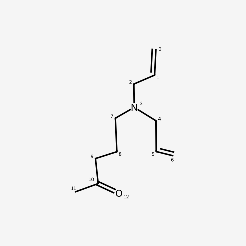 C=CCN(CC=C)CCCC(C)=O